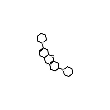 C1=C(N2CCCCC2)CC2OC3=C(CCC(N4CCCCC4)C3)CC2C1